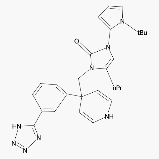 CCCc1cn(-c2cccn2C(C)(C)C)c(=O)n1CC1(c2cccc(-c3nnn[nH]3)c2)C=CNC=C1